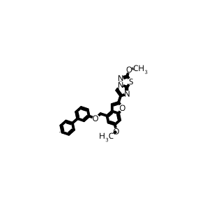 COc1cc(COc2cccc(-c3cc[c]cc3)c2)c2cc(-c3cn4nc(OC)sc4n3)oc2c1